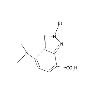 CCn1cc2c(N(C)C)ccc(C(=O)O)c2n1